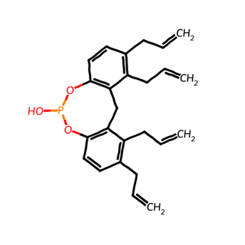 C=CCc1ccc2c(c1CC=C)Cc1c(ccc(CC=C)c1CC=C)OP(O)O2